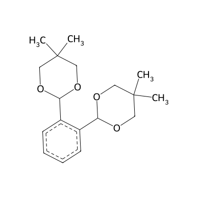 CC1(C)COC(c2ccccc2C2OCC(C)(C)CO2)OC1